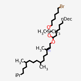 CCCCCCCCCCCCCCCC(OC/C=C(\C)CCCC(C)CCCC(C)CCCC(C)C)O[Si](C)(C)OCCCCCCBr